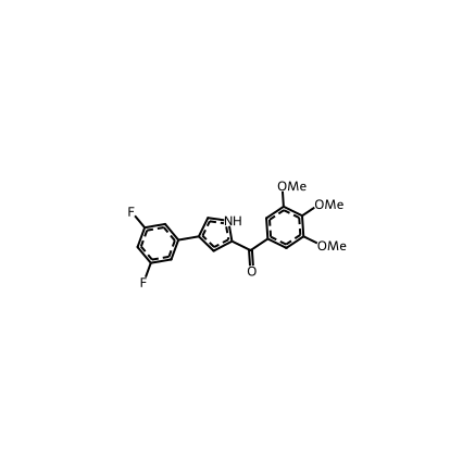 COc1cc(C(=O)c2cc(-c3cc(F)cc(F)c3)c[nH]2)cc(OC)c1OC